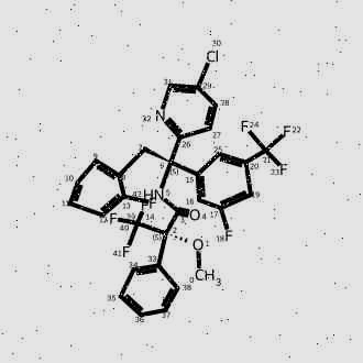 CO[C@](C(=O)N[C@@](Cc1ccccc1F)(c1cc(F)cc(C(F)(F)F)c1)c1ccc(Cl)cn1)(c1ccccc1)C(F)(F)F